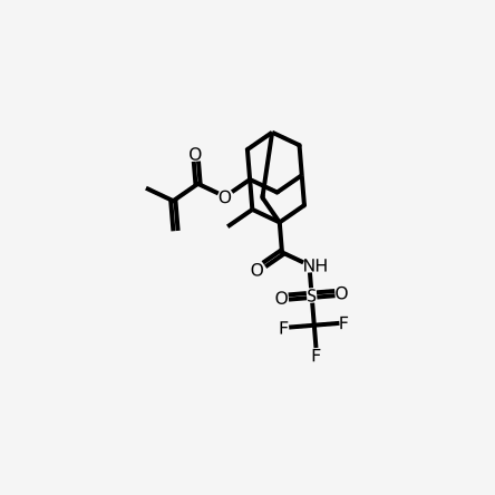 C=C(C)C(=O)OC12CC3CC(C1)CC(C(=O)NS(=O)(=O)C(F)(F)F)(C3)C2C